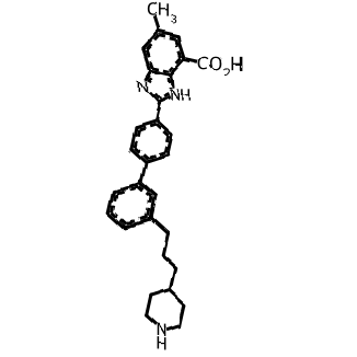 Cc1cc(C(=O)O)c2[nH]c(-c3ccc(-c4cccc(CCCC5CCNCC5)c4)cc3)nc2c1